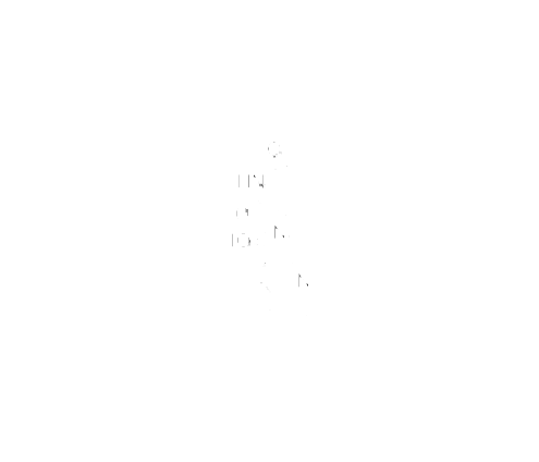 Cc1ccc2c(n1)CN(C1CCC(=O)NC1=O)C2O